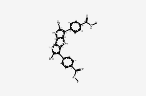 COC(=O)c1ccc(-c2c(Br)sc3c2sc2c(-c4ccc(C(=O)OC)cc4)c(Br)sc23)cc1